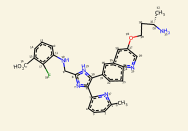 Cc1cccc(-c2nc(CNc3cccc(C(=O)O)c3F)[nH]c2-c2ccc3ncc(OCC[C@H](C)N)cc3c2)n1